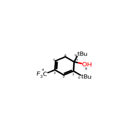 CC(C)(C)C1=CC(C(F)(F)F)=CCC1(O)C(C)(C)C